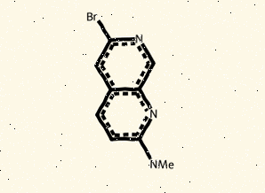 CNc1ccc2cc(Br)ncc2n1